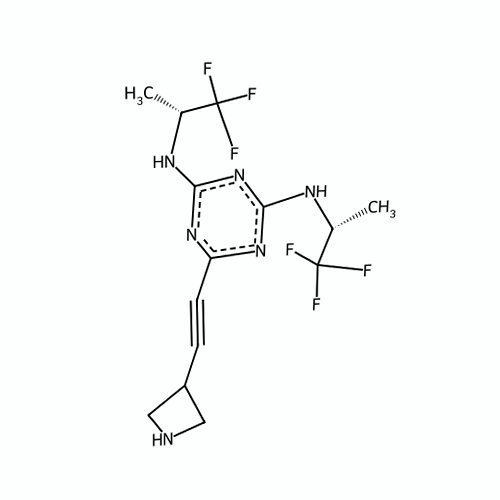 C[C@@H](Nc1nc(C#CC2CNC2)nc(N[C@H](C)C(F)(F)F)n1)C(F)(F)F